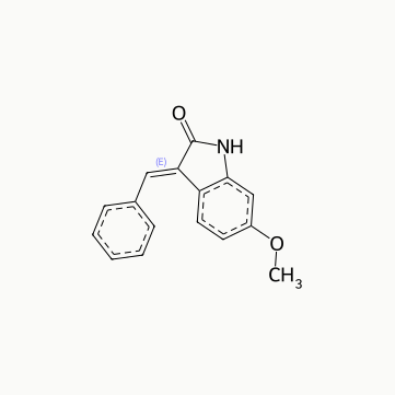 COc1ccc2c(c1)NC(=O)/C2=C/c1ccccc1